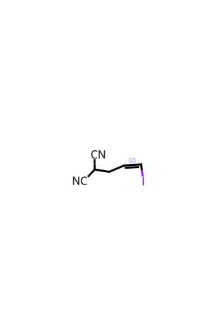 N#CC(C#N)C/C=C\I